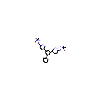 CC1(C)COC(c2ccc(-c3cc(-c4ccccc4)cc(-c4ccc(C5=NC(C)(C)CO5)nc4)c3)cn2)=N1